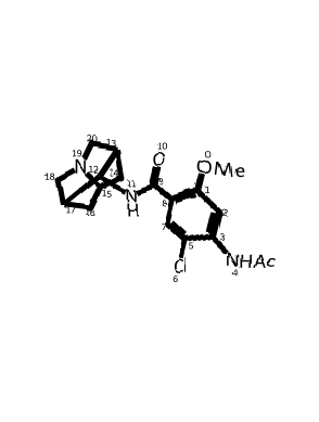 COc1cc(NC(C)=O)c(Cl)cc1C(=O)NC1C2CC3CC1CN3C2